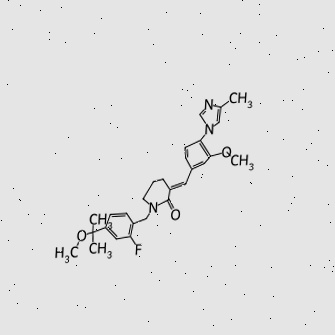 COc1cc(C=C2CCCN(Cc3ccc(C(C)(C)OC)cc3F)C2=O)ccc1-n1cnc(C)c1